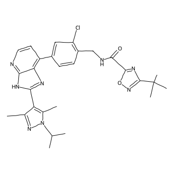 Cc1nn(C(C)C)c(C)c1-c1nc2c(-c3ccc(CNC(=O)c4nc(C(C)(C)C)no4)c(Cl)c3)ccnc2[nH]1